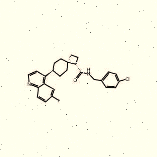 O=C(NCc1ccc(Cl)cc1)[C@H]1CC[C@]12CC[C@H](c1ccnc3ccc(F)cc31)CC2